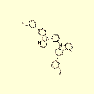 C=Cc1cccc(-c2ccc3c(c2)c2ncccc2n3-c2cccc(-n3c4ccc(-c5cccc(C=C)c5)cc4c4ncccc43)c2)c1